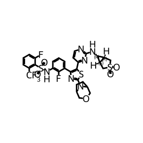 O=S1(=O)C[C@@H]2[C@H](C1)[C@H]2Nc1nccc(-c2sc(N3C4CCC3COC4)nc2-c2cccc(NS(=O)(=O)c3c(F)cccc3C(F)(F)F)c2F)n1